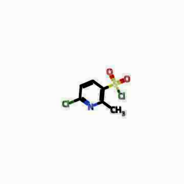 Cc1nc(Cl)ccc1S(=O)(=O)Cl